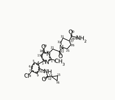 Cc1nc(-c2ccc(Cl)cc2NC(=O)C2CC2)cc(=O)n1CC(=O)N1CCC(C(N)=O)CC1